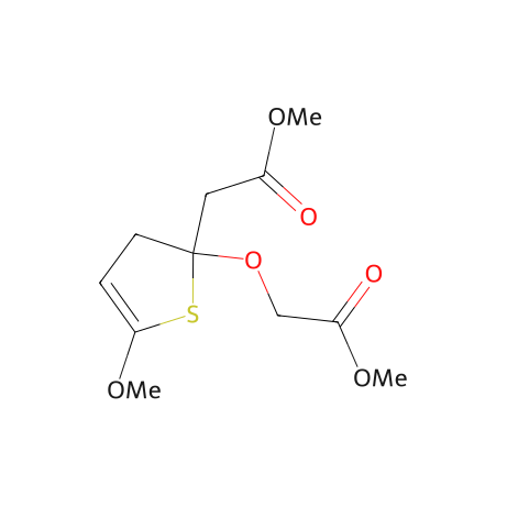 COC(=O)COC1(CC(=O)OC)CC=C(OC)S1